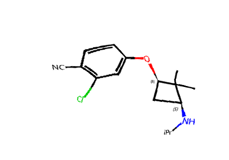 CC(C)N[C@H]1C[C@@H](Oc2ccc(C#N)c(Cl)c2)C1(C)C